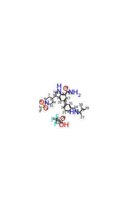 CCS(=O)(=O)N1CCC(c2c[nH]c3c(C(N)=O)cc(-c4cccc(CN[C@H](C)C(C)C)c4)cc23)CC1.O=C(O)C(F)(F)F